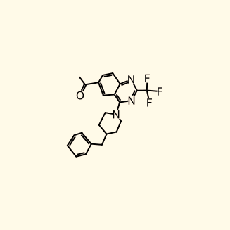 CC(=O)c1ccc2nc(C(F)(F)F)nc(N3CCC(Cc4ccccc4)CC3)c2c1